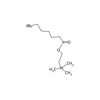 CC(C)(C)CCCCCC(=O)OCC[N+](C)(C)C